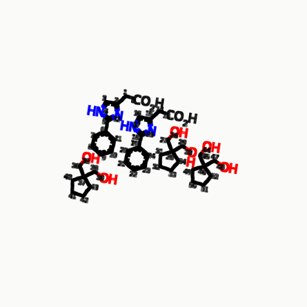 O=C(O)Cc1c[nH]c(-c2ccccc2)n1.O=C(O)Cc1c[nH]c(-c2ccccc2)n1.OCC1(CO)CCCC1.OCC1(CO)CCCC1.OCC1(CO)CCCC1